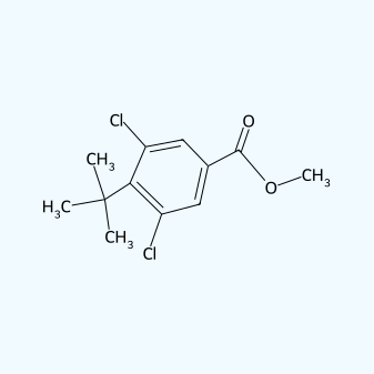 COC(=O)c1cc(Cl)c(C(C)(C)C)c(Cl)c1